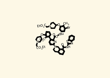 CCOC(=O)CN1CCC(Oc2cccc(-c3ccc(N4CCc5cccc(C(=O)Nc6nc7ccccc7s6)c5C4)nc3C(=O)OC(C)(C)C)c2C)CC1.CCOC(=O)CN1CCC(Oc2cccc(Br)c2C)CC1